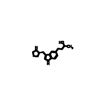 CC(O)CCc1ccc2[nH]cc(C[C@H]3CCCN3)c2c1